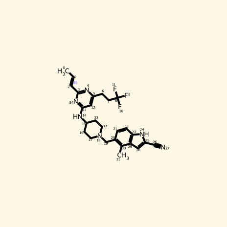 C/C=C/c1nc(CCC(F)(F)F)cc(NC2CCN(Cc3ccc4[nH]c(C#N)cc4c3C)CC2)n1